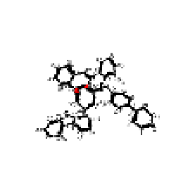 c1ccc(-c2ccc(N(c3cccc(-c4cccc5c4sc4ccccc45)c3)c3ccccc3-c3ccc4ccccc4c3)cc2)cc1